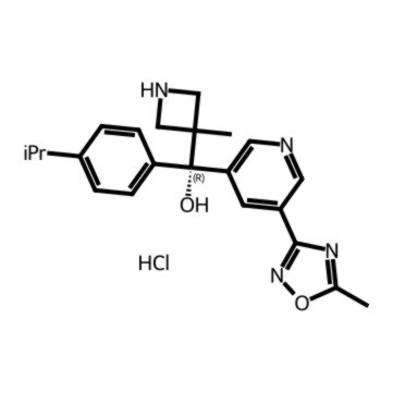 Cc1nc(-c2cncc([C@@](O)(c3ccc(C(C)C)cc3)C3(C)CNC3)c2)no1.Cl